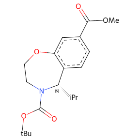 COC(=O)c1ccc2c(c1)OCCN(C(=O)OC(C)(C)C)[C@H]2C(C)C